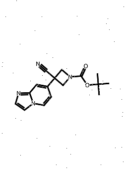 CC(C)(C)OC(=O)N1CC(C#N)(c2ccn3ccnc3c2)C1